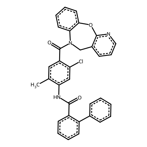 Cc1cc(C(=O)N2Cc3cccnc3Oc3ccccc32)c(Cl)cc1NC(=O)c1ccccc1-c1ccccc1